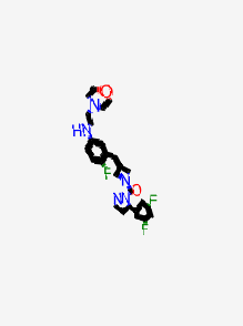 O=C(N1CC(=Cc2cc(NCCN3CCOCC3)ccc2F)C1)N1N=CCC1c1cc(F)cc(F)c1